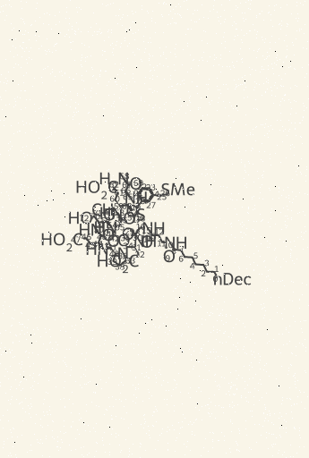 CCCCCCCCCCCCCCCCCC(=O)NCCC(=O)N[C@@H](CSCc1cccc(CSC)c1)C(=O)N[C@@H](CC(=O)O)C(=O)N1CCC[C@H]1C(=O)N[C@@H](CCC(=O)O)C(=O)N[C@H](C(=O)NCC(=O)N[C@@H](CCC(=O)O)C(=O)NCC(N)=O)[C@@H](C)O